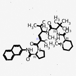 C/C(=C\C(C(C)C)N(C)C(=O)[C@@H](NC(=O)[C@H]1CCCCN1C)C(C)(C)C)C(=O)N1CCC[C@H]1C(=O)Nc1ccc2ccccc2c1